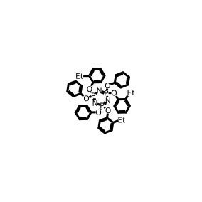 CCc1ccccc1OP1(Oc2ccccc2)=NP(Oc2ccccc2)(Oc2ccccc2CC)=NP(Oc2ccccc2)(Oc2ccccc2CC)=N1